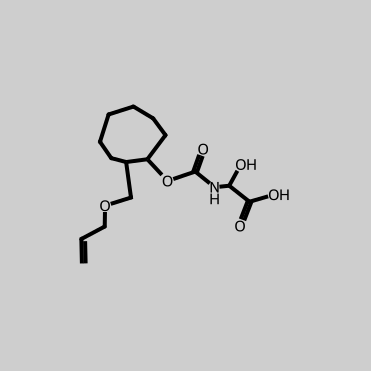 C=CCOCC1CCCCCCC1OC(=O)NC(O)C(=O)O